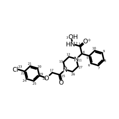 O=C(NO)C(c1ccccc1)N1CCN(C(=O)COc2ccc(Cl)cc2)CC1